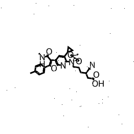 CNC(=O)c1c(-c2ccc(C)cc2)oc2nc(N(CCCC(C#N)CC(=O)O)S(C)(=O)=O)c(C3CC3)cc12